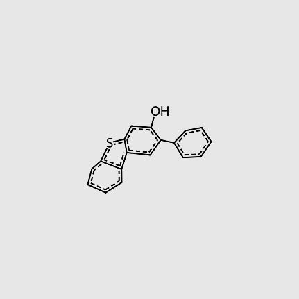 Oc1cc2sc3ccccc3c2cc1-c1ccccc1